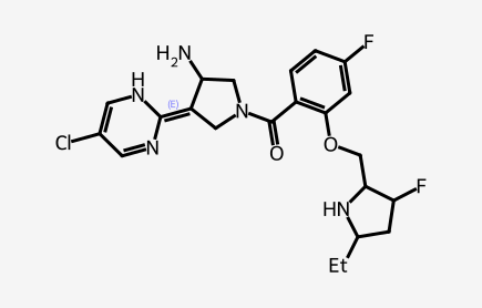 CCC1CC(F)C(COc2cc(F)ccc2C(=O)N2C/C(=C3\N=CC(Cl)=CN3)C(N)C2)N1